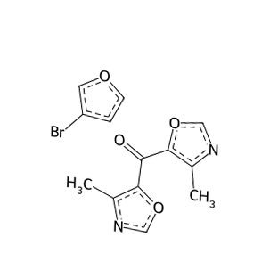 Brc1ccoc1.Cc1ncoc1C(=O)c1ocnc1C